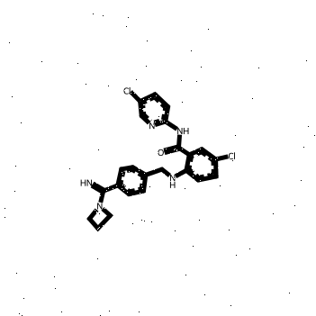 N=C(c1ccc(CNc2ccc(Cl)cc2C(=O)Nc2ccc(Cl)cn2)cc1)N1CCC1